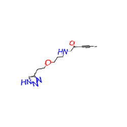 CC#CC(=O)CNCCCOCCc1c[nH]nn1